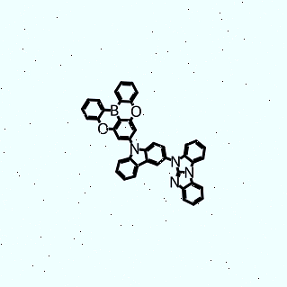 c1ccc2c(c1)Oc1cc(-n3c4ccccc4c4cc(-n5c6ccccc6n6c7ccccc7nc56)ccc43)cc3c1B2c1ccccc1O3